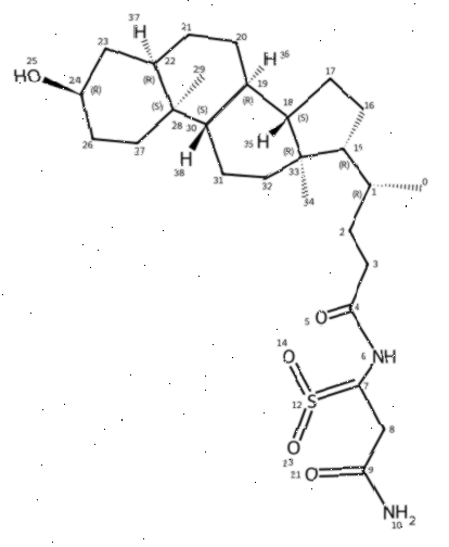 C[C@H](CCC(=O)NC(CC(N)=O)=S(=O)=O)[C@H]1CC[C@H]2[C@@H]3CC[C@@H]4C[C@H](O)CC[C@]4(C)[C@H]3CC[C@]12C